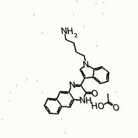 CC(=O)O.NCCCCn1cc(-c2nc3cc4ccccc4cc3[nH]c2=O)c2ccccc21